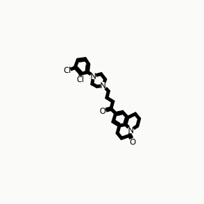 O=C(CCCN1CCN(c2cccc(Cl)c2Cl)CC1)c1cc2c3c(c1)CCC(=O)N3CCC2